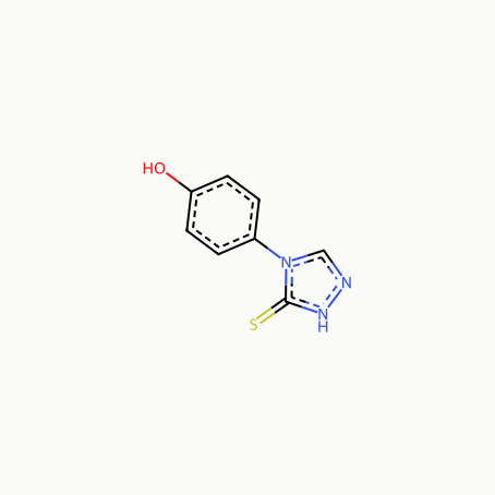 Oc1ccc(-n2cn[nH]c2=S)cc1